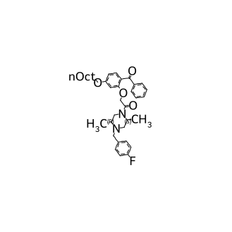 CCCCCCCCOc1ccc(C(=O)c2ccccc2)c(OCC(=O)N2C[C@@H](C)N(Cc3ccc(F)cc3)C[C@@H]2C)c1